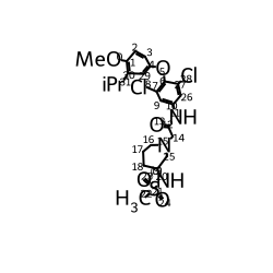 COc1ccc(Oc2c(Cl)cc(NC(=O)CN3CCC[C@H](NS(C)(=O)=O)C3)cc2Cl)cc1C(C)C